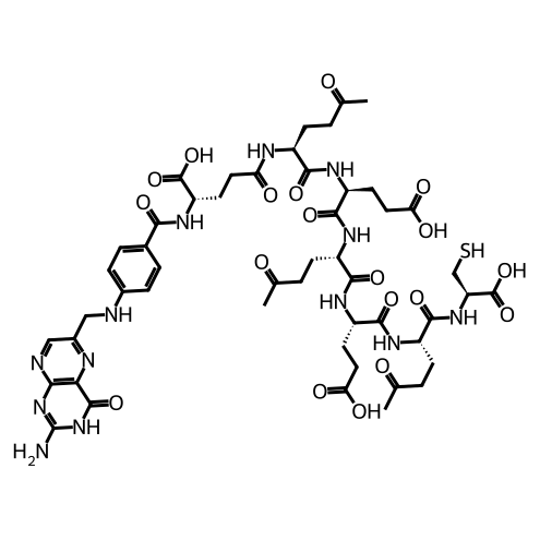 CC(=O)CC[C@H](NC(=O)CC[C@H](NC(=O)c1ccc(NCc2cnc3nc(N)[nH]c(=O)c3n2)cc1)C(=O)O)C(=O)N[C@@H](CCC(=O)O)C(=O)N[C@@H](CCC(C)=O)C(=O)N[C@@H](CCC(=O)O)C(=O)N[C@@H](CCC(C)=O)C(=O)N[C@@H](CS)C(=O)O